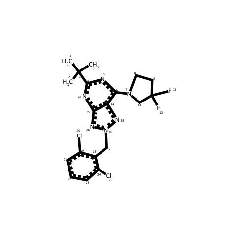 CC(C)(C)c1nc(N2CCC(F)(F)C2)c2nn(Cc3c(Cl)cccc3Cl)nc2n1